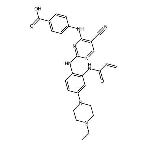 C=CC(=O)Nc1cc(N2CCN(CC)CC2)ccc1Nc1ncc(C#N)c(Nc2ccc(C(=O)O)cc2)n1